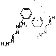 Cc1ccccc1.N=NC=NN.N=NC=NN.c1ccccc1